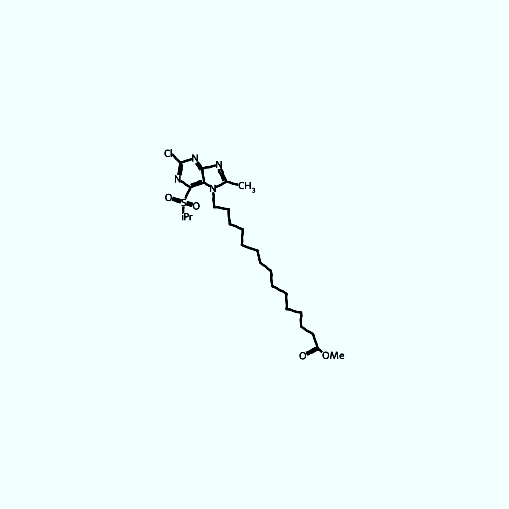 COC(=O)CCCCCCCCCCCCCCn1c(C)nc2nc(Cl)nc(S(=O)(=O)C(C)C)c21